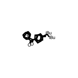 CCC(C)Cc1ccc(C(=O)[C]23[CH]4[CH]5[CH]6[CH]2[Fe]56432789[CH]3[CH]2[CH]7[C]8(C(=O)c2ccc(CC(C)CC)cc2)[CH]39)cc1